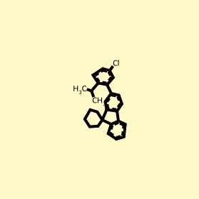 CC(C)c1ccc(Cl)cc1-c1ccc2c(c1)C1(CCCCC1)c1ccccc1-2